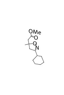 COC(=O)CC1(C)CC(C2CCCCC2)=NO1